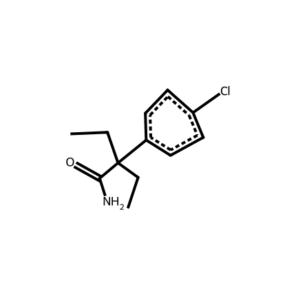 CCC(CC)(C(N)=O)c1ccc(Cl)cc1